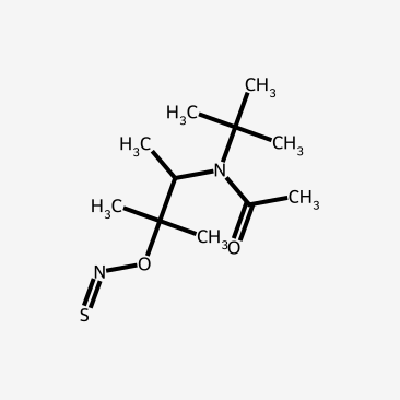 CC(=O)N(C(C)C(C)(C)ON=S)C(C)(C)C